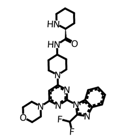 O=C(NC1CCN(c2cc(N3CCOCC3)nc(-n3c(C(F)F)nc4ccccc43)n2)CC1)[C@@H]1CCCCN1